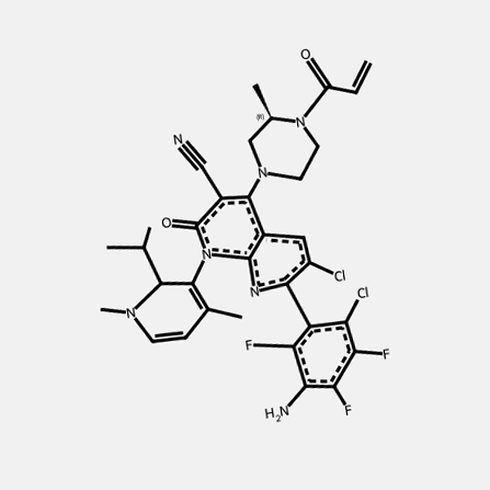 C=CC(=O)N1CCN(c2c(C#N)c(=O)n(C3=C(C)C=CN(C)C3C(C)C)c3nc(-c4c(F)c(N)c(F)c(F)c4Cl)c(Cl)cc23)C[C@H]1C